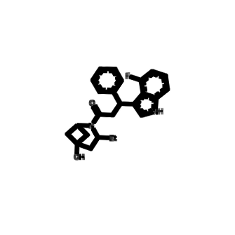 CCC1CC2(O)CC(C2)N1C(=O)CC(c1ccccc1)c1c[nH]c2cccc(F)c12